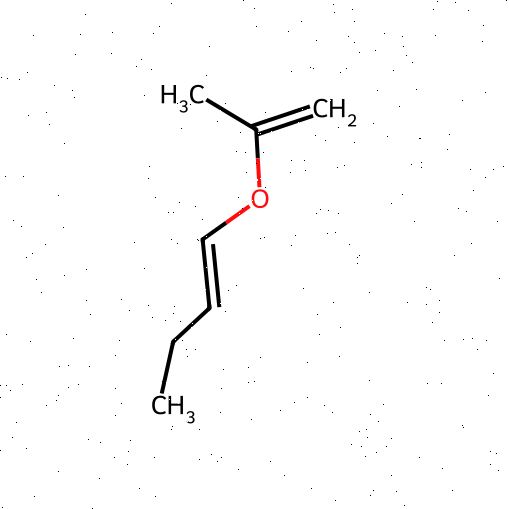 C=C(C)OC=CCC